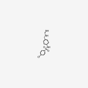 N=CNCc1ccc(NS(=O)(=O)c2ccc(Cl)cc2)cc1